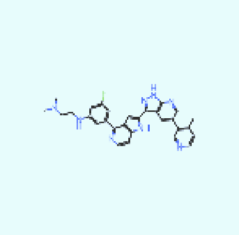 Cc1ccncc1-c1cnc2[nH]nc(-c3cc4c(-c5cc(F)cc(NCCN(C)C)c5)nccc4[nH]3)c2c1